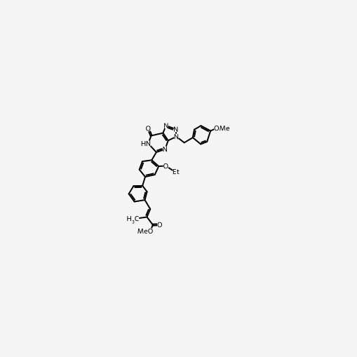 CCOc1cc(-c2cccc(/C=C(\C)C(=O)OC)c2)ccc1-c1nc2c(nnn2Cc2ccc(OC)cc2)c(=O)[nH]1